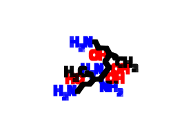 C=CC(CC(O)CN)CC(O)C(N)(O)C(N)C(C=C)CC(O)CN